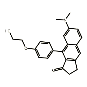 CN(C)c1ccc2cc3c(c(-c4ccc(OCCO)cc4)c2c1)C(=O)CC3